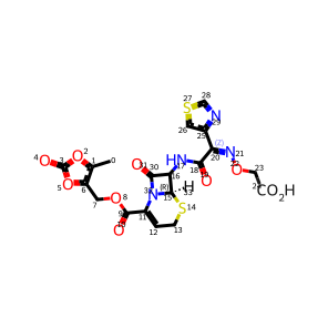 Cc1oc(=O)oc1COC(=O)C1=CCS[C@@H]2C(NC(=O)/C(=N\OCC(=O)O)c3cscn3)C(=O)N12